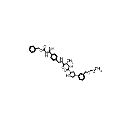 COCOCc1cccc([C@@H]2CN[C@@H](C(=O)N[C@@H](C)C(=O)NCc3ccc(C(=N)NC(=O)OCc4ccccc4)cc3)C2)c1